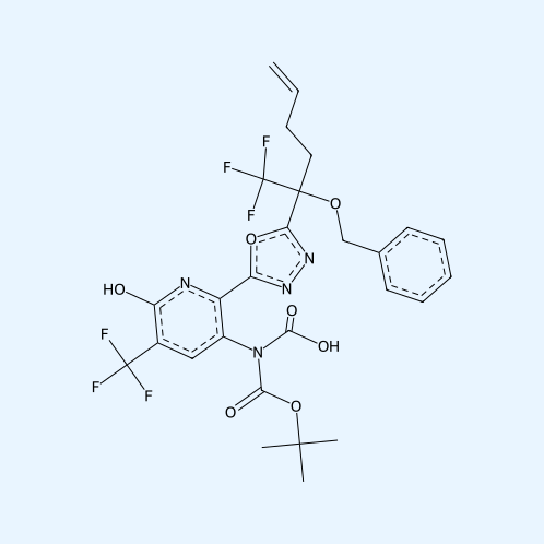 C=CCCC(OCc1ccccc1)(c1nnc(-c2nc(O)c(C(F)(F)F)cc2N(C(=O)O)C(=O)OC(C)(C)C)o1)C(F)(F)F